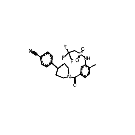 Cc1ccc(C(=O)N2CCC(c3ccc(C#N)cc3)CC2)cc1NS(=O)(=O)CC(F)(F)F